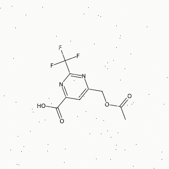 CC(=O)OCc1cc(C(=O)O)nc(C(F)(F)F)n1